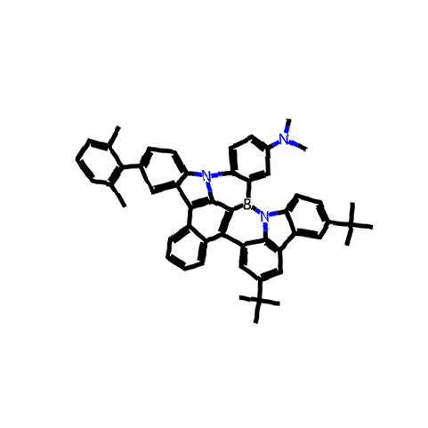 Cc1cccc(C)c1-c1ccc2c(c1)c1c3ccccc3c3c4c1n2-c1ccc(N(C)C)cc1B4n1c2ccc(C(C)(C)C)cc2c2cc(C(C)(C)C)cc-3c21